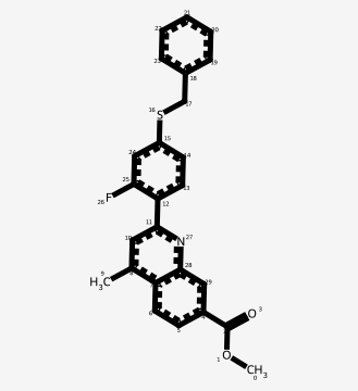 COC(=O)c1ccc2c(C)cc(-c3ccc(SCc4ccccc4)cc3F)nc2c1